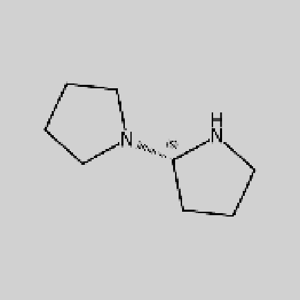 C1CN[C@@H](N2CCCC2)C1